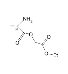 CCOC(=O)COC(=O)[C@H](C)N